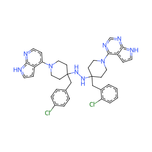 Clc1ccc(CC2(NNC3(Cc4ccccc4Cl)CCN(c4ncnc5[nH]ccc45)CC3)CCN(c3ccnc4[nH]ccc34)CC2)cc1